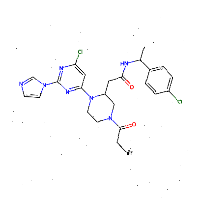 CC(C)CC(=O)N1CCN(c2cc(Cl)nc(-n3ccnc3)n2)C(CC(=O)NC(C)c2ccc(Cl)cc2)C1